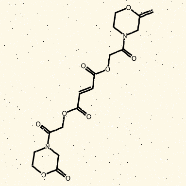 C=C1CN(C(=O)COC(=O)/C=C/C(=O)OCC(=O)N2CCOC(=O)C2)CCO1